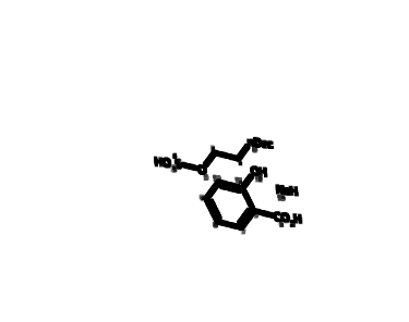 CCCCCCCCCCCCOS(=O)(=O)O.O=C(O)c1ccccc1O.[NaH]